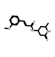 COc1cccc(C=CC(=O)NC2CC(=O)NC(C)C2)c1